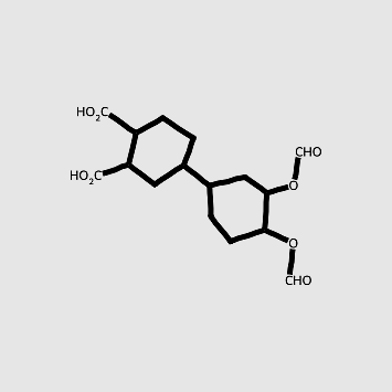 O=COC1CCC(C2CCC(C(=O)O)C(C(=O)O)C2)CC1OC=O